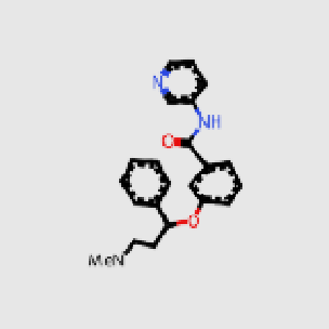 CNCCC(Oc1cccc(C(=O)Nc2cccnc2)c1)c1ccccc1